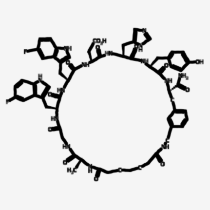 C[C@@H]1NC(=O)CCCCCC(=O)NCc2cccc(c2)C[C@@H](C(N)=O)NC(=O)[C@H](Cc2ccc(O)cc2)NC(=O)[C@H](Cc2cnc[nH]2)NC(=O)[C@H](CC(=O)O)NC(=O)[C@H](Cc2c[nH]c3ccc(F)cc23)NC(=O)[C@H](Cc2c[nH]c3ccc(F)cc23)NC(=O)CNC1=O